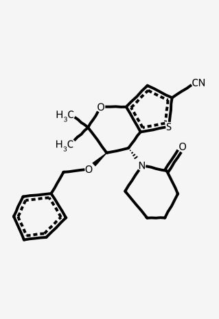 CC1(C)Oc2cc(C#N)sc2[C@H](N2CCCCC2=O)[C@H]1OCc1ccccc1